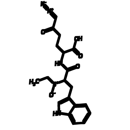 CC[S+]([O-])C(Cc1c[nH]c2ccccc12)C(=O)NC(CCC(=O)C=[N+]=[N-])C(=O)O